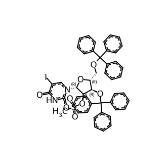 CS(=O)(=O)O[C@@H]1[C@H](OC(c2ccccc2)(c2ccccc2)c2ccccc2)[C@@H](COC(c2ccccc2)(c2ccccc2)c2ccccc2)O[C@H]1n1cc(I)c(=O)[nH]c1=O